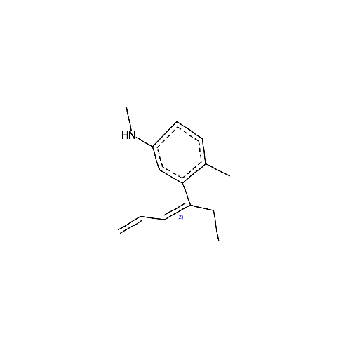 C=C/C=C(/CC)c1cc(NC)ccc1C